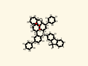 CC1(C)c2ccccc2-c2ccc(N(c3cc(-c4ccccc4)c4oc5ccccc5c4c3)c3ccc(-c4ccccc4)cc3-c3ccccc3)cc21